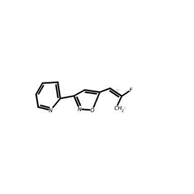 [CH2]/C(F)=C\c1cc(-c2ccccn2)no1